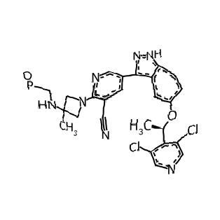 C[C@@H](Oc1ccc2[nH]nc(-c3cnc(N4CC(C)(NCP=O)C4)c(C#N)c3)c2c1)c1c(Cl)cncc1Cl